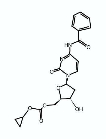 O=C(OC[C@H]1O[C@@H](n2ccc(NC(=O)c3ccccc3)nc2=O)C[C@@H]1O)OC1CC1